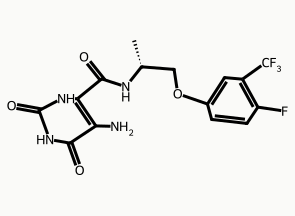 C[C@H](COc1ccc(F)c(C(F)(F)F)c1)NC(=O)c1[nH]c(=O)[nH]c(=O)c1N